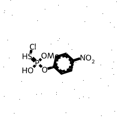 COP(O)(Oc1ccc([N+](=O)[O-])cc1)=[SH]Cl